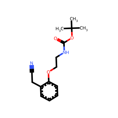 CC(C)(C)OC(=O)NCCOc1ccccc1CC#N